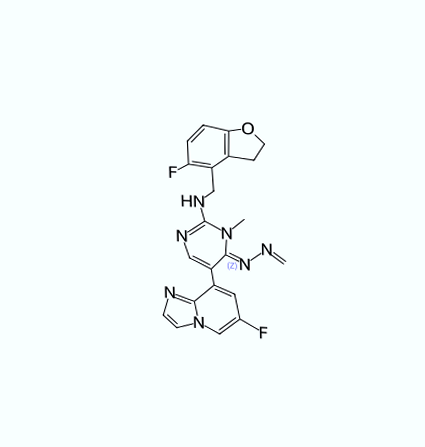 C=N/N=c1/c(-c2cc(F)cn3ccnc23)cnc(NCc2c(F)ccc3c2CCO3)n1C